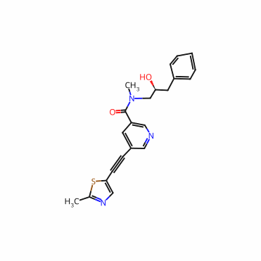 Cc1ncc(C#Cc2cncc(C(=O)N(C)C[C@@H](O)Cc3ccccc3)c2)s1